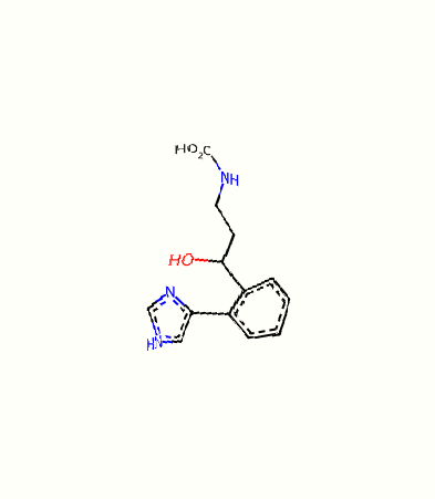 O=C(O)NCCC(O)c1ccccc1-c1c[nH]cn1